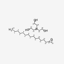 CCCCCCCCCCCCCCC1CO1.OCCN(CCO)CCO